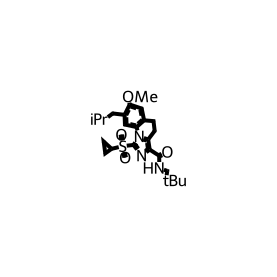 COc1cc2c(cc1CC(C)C)-n1c(S(=O)(=O)C3CC3)nc(C(=O)NCC(C)(C)C)c1CC2